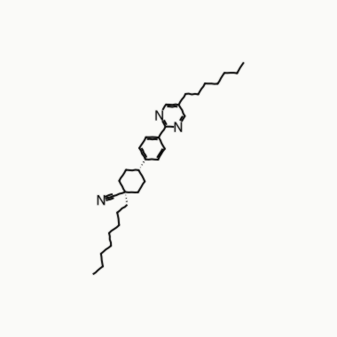 CCCCCCCC[C@]1(C#N)CC[C@H](c2ccc(-c3ncc(CCCCCCC)cn3)cc2)CC1